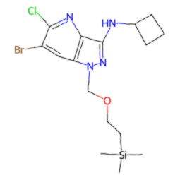 C[Si](C)(C)CCOCn1nc(NC2CCC2)c2nc(Cl)c(Br)cc21